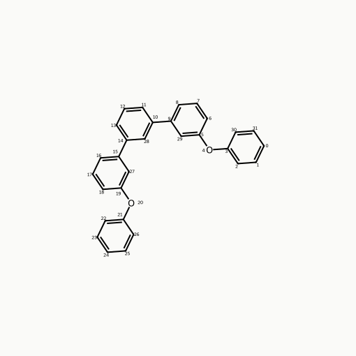 c1ccc(Oc2cccc(-c3cccc(-c4cccc(Oc5ccccc5)c4)c3)c2)cc1